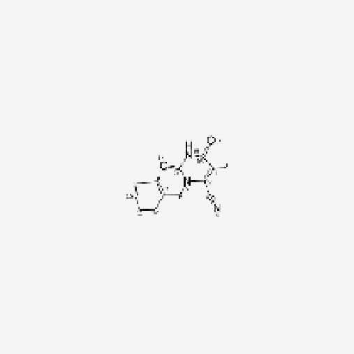 Cc1c(C#N)n(Cc2ccccc2)c(=O)[nH]c1=O